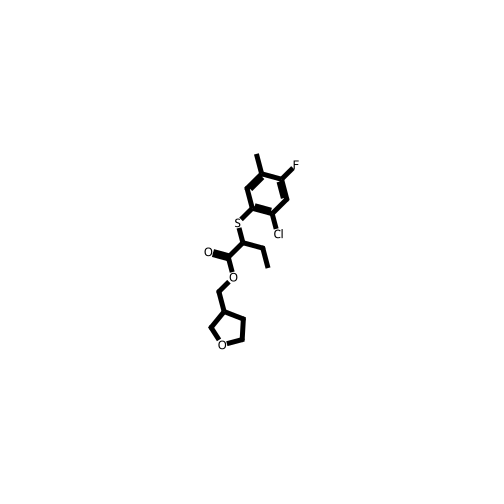 CCC(Sc1cc(C)c(F)cc1Cl)C(=O)OCC1CCOC1